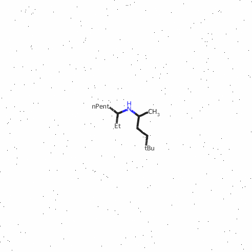 CCCCCC(CC)NC(C)CCC(C)(C)C